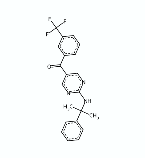 CC(C)(Nc1ncc(C(=O)c2cccc(C(F)(F)F)c2)cn1)c1ccccc1